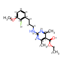 CCOC(=O)c1c(C)nc(NCCCc2cccc(OC)c2F)nc1C